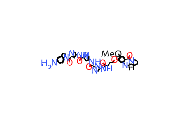 COc1cc2c(cc1OCCCC(=O)Nc1cn(C)c(C(=O)Nc3cc(C(=O)Nc4cc(C(=O)n5ccc6cc(N)ccc65)n(C)c4)n(C)c3)n1)N=C[C@@H]1C=CC=CN1C2=O